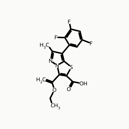 C=C(OCC)c1c(C(=O)O)sc2c(-c3cc(F)cc(F)c3F)c(C)nn12